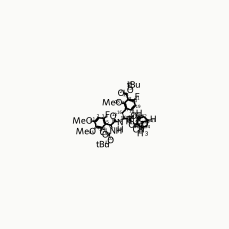 COc1cc(F)c(C(NC(=O)OC(C)(C)C)C(=O)N[C@@H](Cc2ccc(F)c(C(=O)OC(C)(C)C)c2OC)B2O[C@@H]3C[C@@H]4C[C@@H](C4(C)C)[C@]3(C)O2)c(Cl)c1OC